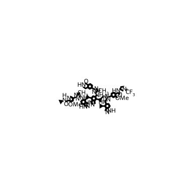 COc1cc(-c2nc(Nc3ccc4[nH]ncc4c3C3CC3)n(CC3CC3c3c(Nc4nc(-c5ccc6c(c5)CCNC6=O)nn4C)cc(C4CC4c4c(Nc5nc(-c6cnc(C(=O)NC7CC7)c(OC)c6)nn5C)ccc5[nH]ncc45)c4[nH]ncc34)n2)ccc1C(=O)NC1CCN(CC(F)(F)F)C1